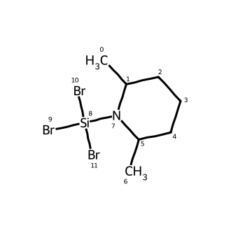 CC1CCCC(C)N1[Si](Br)(Br)Br